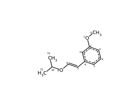 COc1cccc(C=COC(C)C)c1